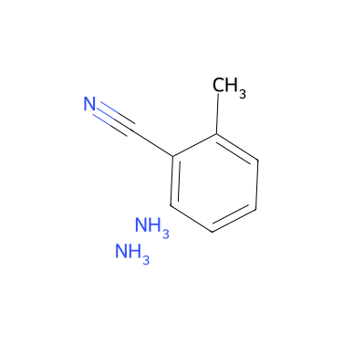 Cc1ccccc1C#N.N.N